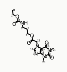 CCOC(=O)NCCCOC(=O)Cn1cnc2c1c(=O)n(C)c(=O)n2C